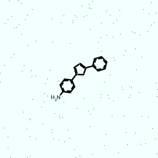 Nc1ccc(C2=CC=C(c3ccccc3)C2)cc1